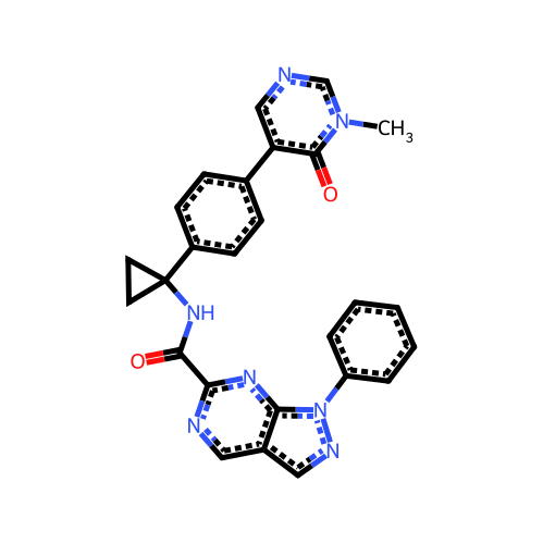 Cn1cncc(-c2ccc(C3(NC(=O)c4ncc5cnn(-c6ccccc6)c5n4)CC3)cc2)c1=O